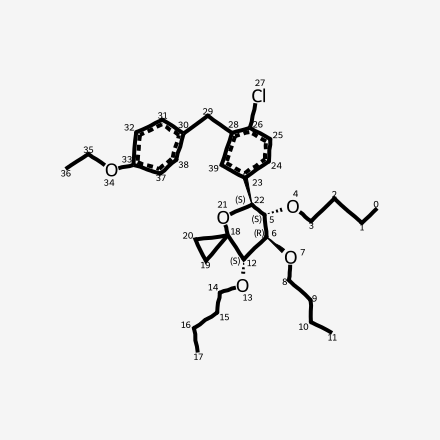 CCCCO[C@@H]1[C@@H](OCCCC)[C@H](OCCCC)C2(CC2)O[C@H]1c1ccc(Cl)c(Cc2ccc(OCC)cc2)c1